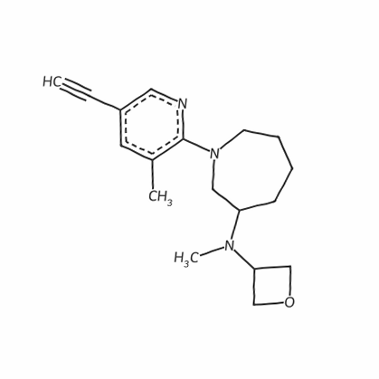 C#Cc1cnc(N2CCCCC(N(C)C3COC3)C2)c(C)c1